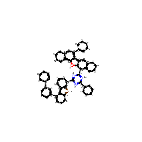 c1ccc(-c2cccc(-c3cccc4sc5c(-c6nc(-c7ccccc7)nc(-c7c8ccccc8cc8c7oc7c9ccccc9cc(-c9ccccc9)c87)n6)cccc5c34)c2)cc1